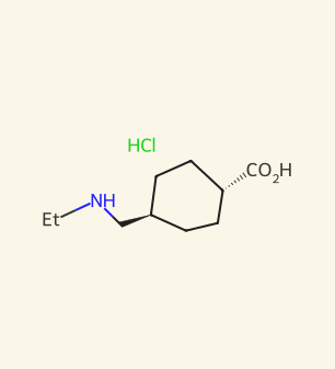 CCNC[C@H]1CC[C@H](C(=O)O)CC1.Cl